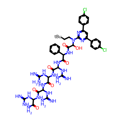 CC(C)(C)CCN(c1nc(-c2ccc(Cl)cc2)cc(-c2ccc(Cl)cc2)n1)C(O)C(=O)NC(C(=O)NC(NC(=N)N)C(=O)NC(NC(=N)N)C(=O)NC(NC(=N)N)C(=O)NC(NC(=N)N)C(N)=O)c1ccccc1